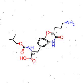 CC(C)COC(=O)N[C@@H](Cc1ccc2c(c1)NC(=O)[C@@H](CCCN)O2)C(=O)O